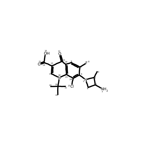 CC1C(N)CN1c1c(F)cc2c(=O)c(C(=O)O)cn(C(C)(C)C)c2c1Cl